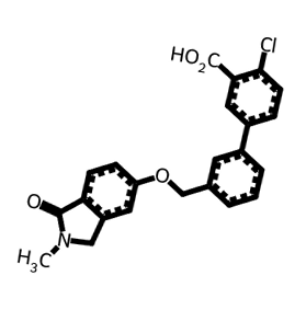 CN1Cc2cc(OCc3cccc(-c4ccc(Cl)c(C(=O)O)c4)c3)ccc2C1=O